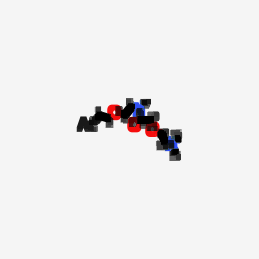 CC(=O)CCOCCN(C)C(=O)COCCN(C)C